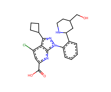 O=C(O)c1cc(Cl)c2c(C3CCC3)nn(-c3ccccc3C3CC(CO)CCN3)c2n1